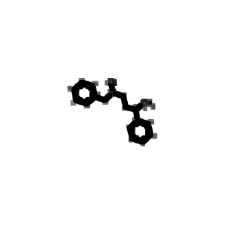 CCN(CCC(C)c1ccccc1)Cc1ccccc1